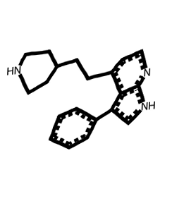 c1ccc(-c2c[nH]c3nccc(CCC4CCNCC4)c23)cc1